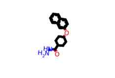 NNC(=O)C1CCC(Oc2ccc3ccccc3c2)CC1